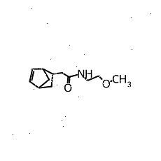 COCCNC(=O)CC1CC2C=CC1C2